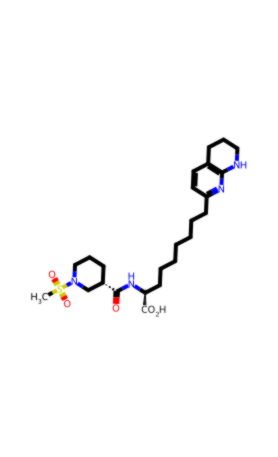 CS(=O)(=O)N1CCC[C@H](C(=O)N[C@@H](CCCCCCCc2ccc3c(n2)NCCC3)C(=O)O)C1